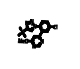 COc1cc(-c2cc(Cl)ccc2-n2cc([Si](C)(C)C)nn2)ncn1